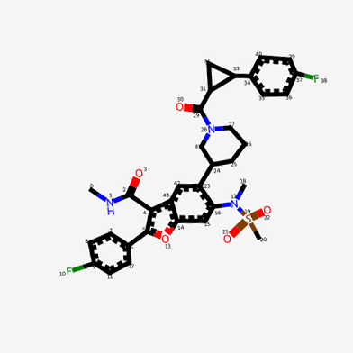 CNC(=O)c1c(-c2ccc(F)cc2)oc2cc(N(C)S(C)(=O)=O)c(C3CCCN(C(=O)C4CC4c4ccc(F)cc4)C3)cc12